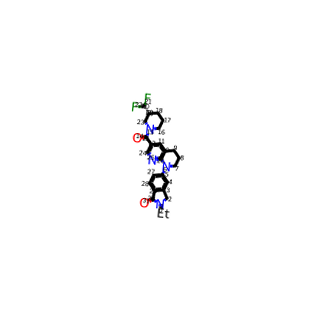 CCN1Cc2cc(N3CCCc4cc(C(=O)N5CCC[C@@H](C(F)F)C5)cnc43)ccc2C1=O